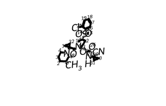 CC1CCCN(C2(C(=O)N3C[C@H](S(=O)(=O)c4ccccc4Cl)C[C@@H]3OC(=O)NC3(C#N)CC3)CC2)C1